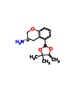 C=C1OB(c2cccc3c2C[C@H](N)CO3)OC1(C)C